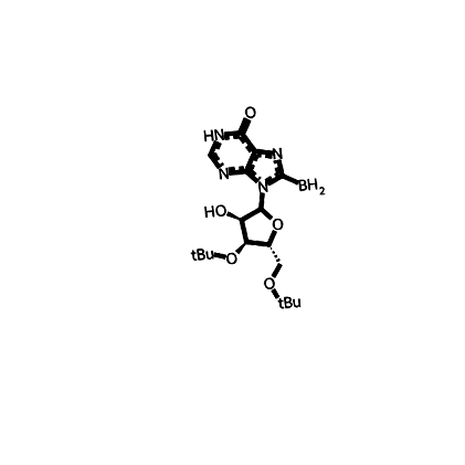 Bc1nc2c(=O)[nH]cnc2n1C1O[C@H](COC(C)(C)C)[C@@H](OC(C)(C)C)[C@H]1O